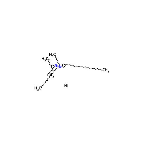 CCCCCCCCCCCCCCCCCCCCCCCCCc1ccc(/N=C(CCCCCCCC)/C(CCCCCCCCCCCCCCCCCC)=N/c2cc(CCCCC)cc(CCCCC)c2)cc1.[Ni]